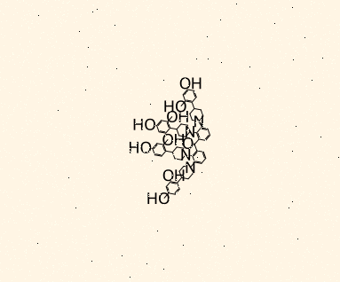 O=C(c1cccc(N2CCC(c3ccc(O)cc3O)CC2)c1N1CCC(c2ccc(O)cc2O)CC1)c1cccc(N2CCC(c3ccc(O)cc3O)CC2)c1N1CCC(c2ccc(O)cc2O)CC1